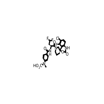 CN(C(=O)O)c1ccc(C(=O)N[C@@H](CC(F)F)C(=O)N2CCC[C@@]3(C2)OC(=O)Nc2ccc(Cl)c(F)c23)cc1